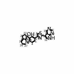 OC1(c2cccc(-c3csc(-c4c[nH]c5ncncc45)n3)c2)CCc2cccnc21